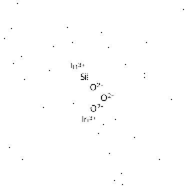 [In+3].[In+3].[O-2].[O-2].[O-2].[Si]